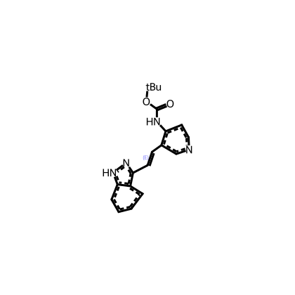 CC(C)(C)OC(=O)Nc1ccncc1/C=C/c1n[nH]c2ccccc12